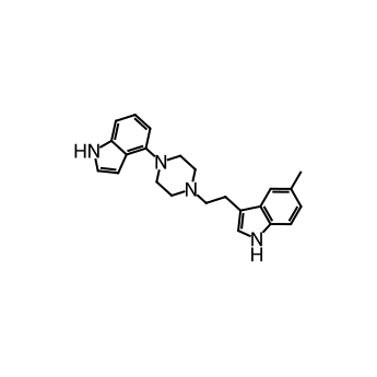 Cc1ccc2[nH]cc(CCN3CCN(c4cccc5[nH]ccc45)CC3)c2c1